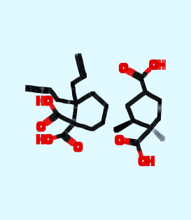 C=CCC1(CC=C)CCCCC1(C(=O)O)C(=O)O.C[C@H]1CC(C(=O)O)CC[C@@]1(C)C(=O)O